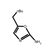 CCCCCc1cnc(N)o1